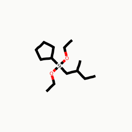 CCO[Si](CC(C)CC)(OCC)C1CCCC1